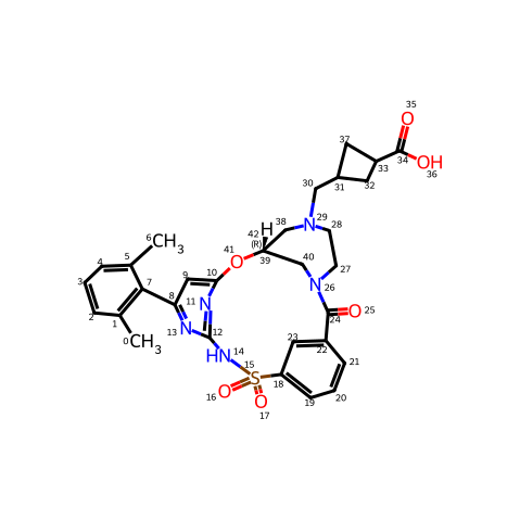 Cc1cccc(C)c1-c1cc2nc(n1)NS(=O)(=O)c1cccc(c1)C(=O)N1CCN(CC3CC(C(=O)O)C3)C[C@H](C1)O2